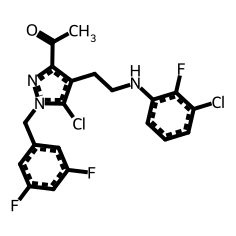 CC(=O)c1nn(Cc2cc(F)cc(F)c2)c(Cl)c1CCNc1cccc(Cl)c1F